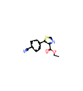 CCOC(=O)c1ncsc1-c1ccc(C#N)cc1